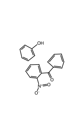 O=C(c1ccccc1)c1ccccc1[N+](=O)[O-].Oc1ccccc1